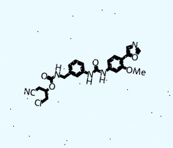 COc1cc(NC(=O)Nc2cccc(CNC(=O)OC(CCl)CC#N)c2)ccc1-c1cnco1